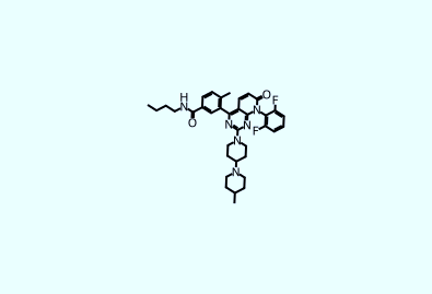 CCCCNC(=O)c1ccc(C)c(-c2nc(N3CCC(N4CCC(C)CC4)CC3)nc3c2ccc(=O)n3-c2c(F)cccc2F)c1